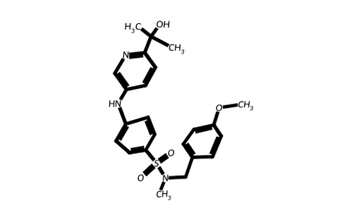 COc1ccc(CN(C)S(=O)(=O)c2ccc(Nc3ccc(C(C)(C)O)nc3)cc2)cc1